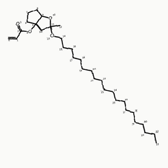 C=CC(=O)OC12CCCC1OC(C)(OCCCCCCCCCCCCCCCCCCCC)C2